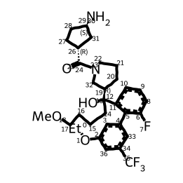 CCOc1cc(-c2c(F)cccc2C(O)(CCCCOC)[C@@H]2CCCN(C(=O)[C@@H]3CC[C@H](N)C3)C2)cc(C(F)(F)F)c1